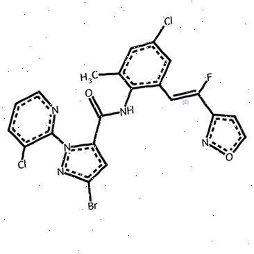 Cc1cc(Cl)cc(/C=C(\F)c2ccon2)c1NC(=O)c1cc(Br)nn1-c1ncccc1Cl